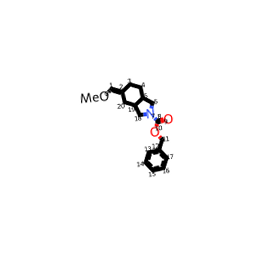 CO/C=C1/CCC2CN(C(=O)OCc3ccccc3)CC2C1